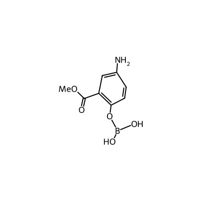 COC(=O)c1cc(N)ccc1OB(O)O